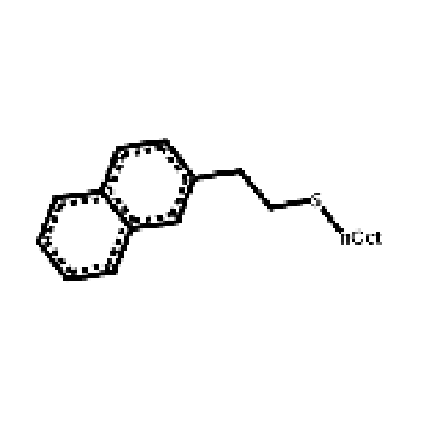 CCCCCCCCSCCc1ccc2ccccc2c1